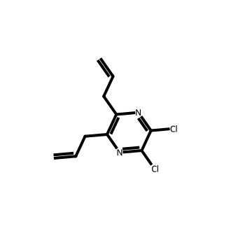 C=CCc1nc(Cl)c(Cl)nc1CC=C